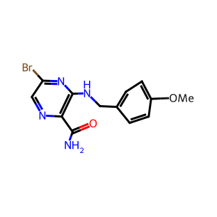 COc1ccc(CNc2nc(Br)cnc2C(N)=O)cc1